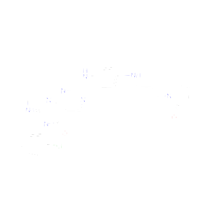 O=C1CCCN1CCCNc1ccc(Nc2ncc3c(=O)n(-c4ccccc4Cl)c4nccn4c3n2)cc1